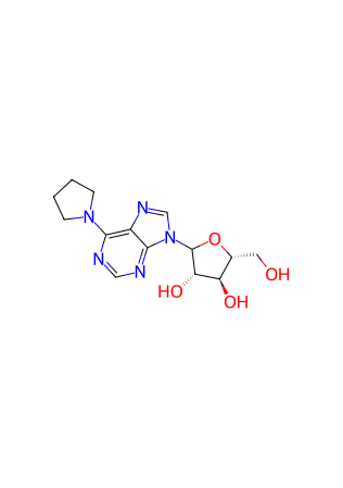 OC[C@H]1OC(n2cnc3c(N4CCCC4)ncnc32)[C@@H](O)[C@@H]1O